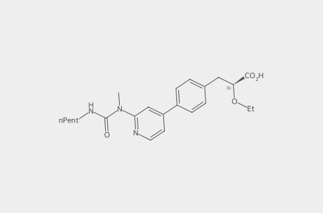 CCCCCNC(=O)N(C)c1cc(-c2ccc(C[C@H](OCC)C(=O)O)cc2)ccn1